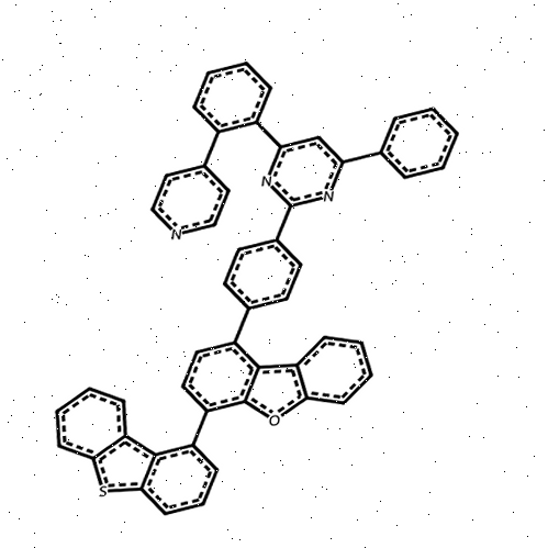 c1ccc(-c2cc(-c3ccccc3-c3ccncc3)nc(-c3ccc(-c4ccc(-c5cccc6sc7ccccc7c56)c5oc6ccccc6c45)cc3)n2)cc1